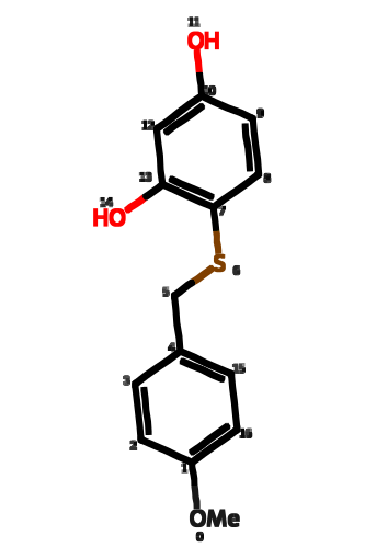 COc1ccc(CSc2ccc(O)cc2O)cc1